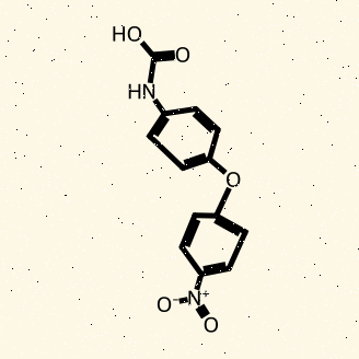 O=C(O)Nc1ccc(Oc2ccc([N+](=O)[O-])cc2)cc1